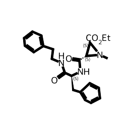 CCOC(=O)[C@@H]1[C@@H](C(=O)N[C@@H](Cc2ccccc2)C(=O)NCCc2ccccc2)N1C